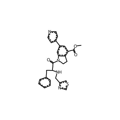 COC(=O)c1cc(-c2ccncc2)cc2c1CCN2C(=O)C(Cc1ccccc1)NCc1cscn1